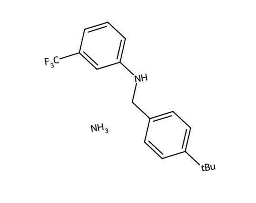 CC(C)(C)c1ccc(CNc2cccc(C(F)(F)F)c2)cc1.N